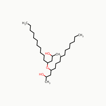 CCCCCCCCCCCC(CC(C)O)OC(CCCCCCCCCCC)CC(C)O